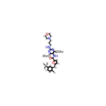 COc1nc(NCCCN2CCOCC2)nc(OC)c1NC(=O)c1ccc(Cc2cc([Si](C)(C)C)ccc2C)o1